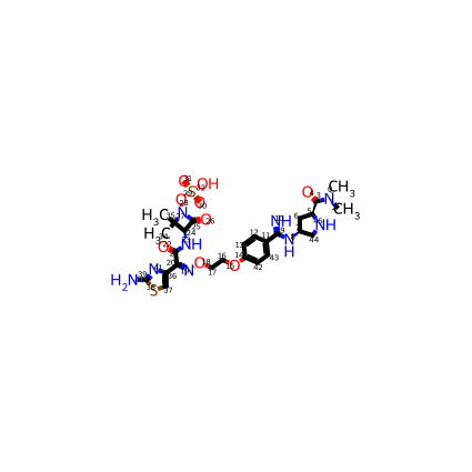 CN(C)C(=O)[C@@H]1C[C@H](NC(=N)c2ccc(OCCON=C(C(=O)N[C@@H]3C(=O)N(OS(=O)(=O)O)C3(C)C)c3csc(N)n3)cc2)CN1